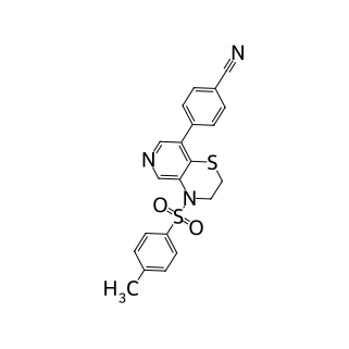 Cc1ccc(S(=O)(=O)N2CCSc3c(-c4ccc(C#N)cc4)cncc32)cc1